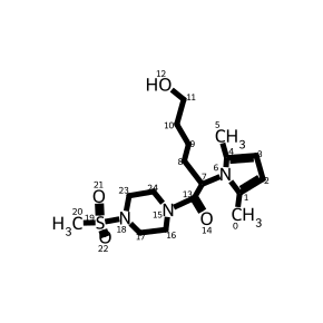 Cc1ccc(C)n1C(CCCCO)C(=O)N1CCN(S(C)(=O)=O)CC1